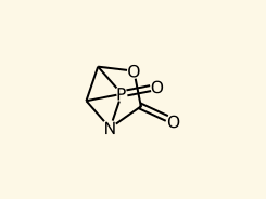 O=C1OC2C3N1P23=O